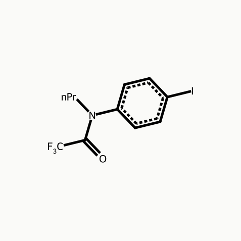 CCCN(C(=O)C(F)(F)F)c1ccc(I)cc1